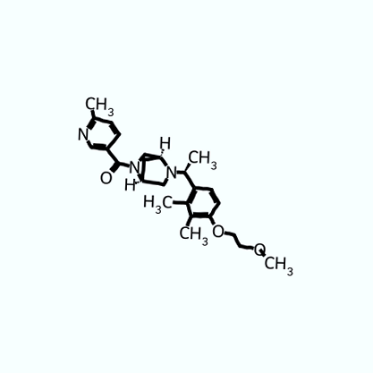 COCCOc1ccc([C@H](C)N2C[C@@H]3C[C@H]2CN3C(=O)c2ccc(C)nc2)c(C)c1C